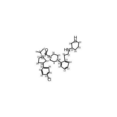 CC(C)[N@+]1(C(=O)N2CCN(c3ccccc3CCNC3CCCNC3)CC2)CCC(c2ccc(Cl)cc2)C1